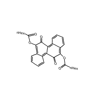 CCCCCCC(=O)OC1=c2ccccc2=C2C(=O)C(OC(=O)CCCCCC)=c3ccccc3=C2C1=O